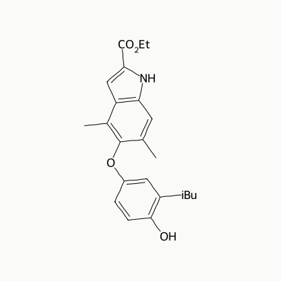 CCOC(=O)c1cc2c(C)c(Oc3ccc(O)c(C(C)CC)c3)c(C)cc2[nH]1